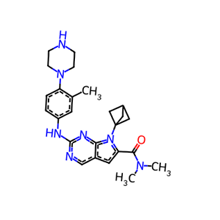 Cc1cc(Nc2ncc3cc(C(=O)N(C)C)n(C45CC(C4)C5)c3n2)ccc1N1CCNCC1